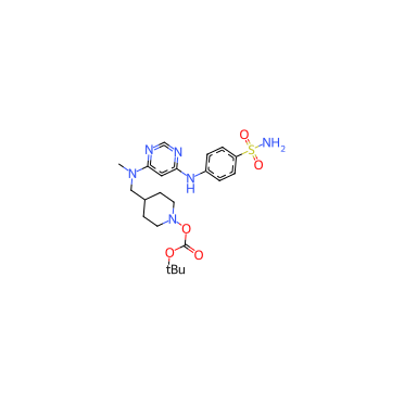 CN(CC1CCN(OC(=O)OC(C)(C)C)CC1)c1cc(Nc2ccc(S(N)(=O)=O)cc2)ncn1